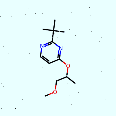 COCC(C)Oc1ccnc(C(C)(C)C)n1